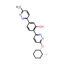 Cc1ccc(-c2ccc(-c3ccc(O[C@H]4CCCC[C@H]4F)nn3)c(O)c2)nn1